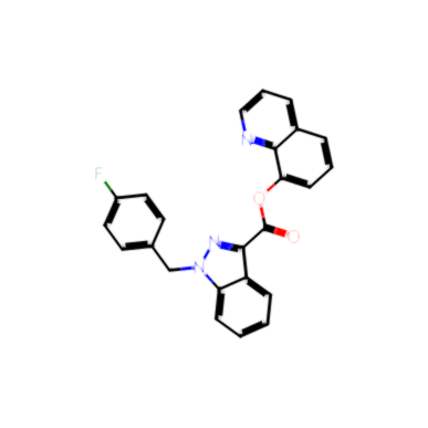 O=C(Oc1cccc2cccnc12)c1nn(Cc2ccc(F)cc2)c2ccccc12